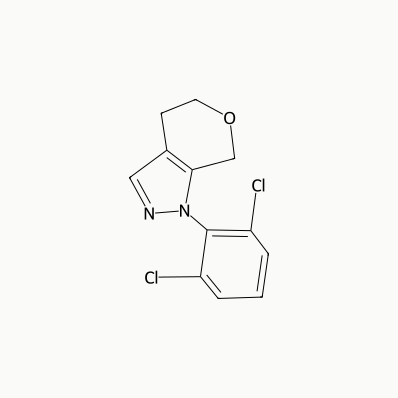 Clc1cccc(Cl)c1-n1ncc2c1COCC2